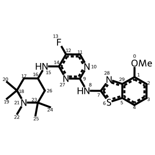 COc1cccc2sc(Nc3ncc(F)c(NC4CC(C)(C)N(C)C(C)(C)C4)n3)nc12